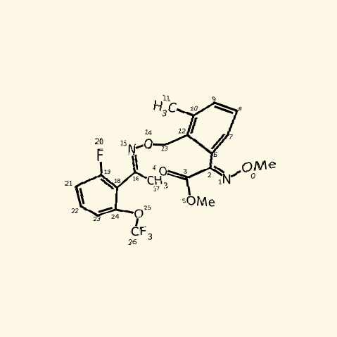 CO/N=C(/C(=O)OC)c1cccc(C)c1CO/N=C(\C)c1c(F)cccc1OC(F)(F)F